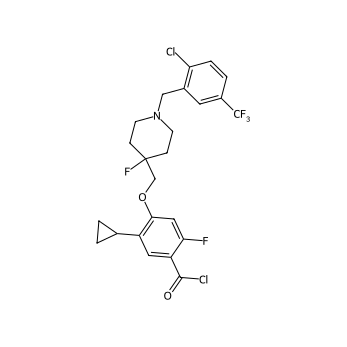 O=C(Cl)c1cc(C2CC2)c(OCC2(F)CCN(Cc3cc(C(F)(F)F)ccc3Cl)CC2)cc1F